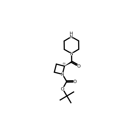 CC(C)(C)OC(=O)N1CC[C@H]1C(=O)N1CCNCC1